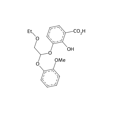 CCOCC(Oc1ccccc1OC)Oc1cccc(C(=O)O)c1O